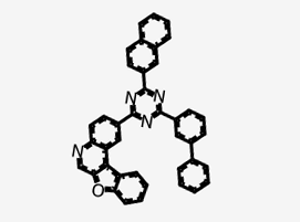 c1ccc(-c2cccc(-c3nc(-c4ccc5ccccc5c4)nc(-c4ccc5ncc6oc7ccccc7c6c5c4)n3)c2)cc1